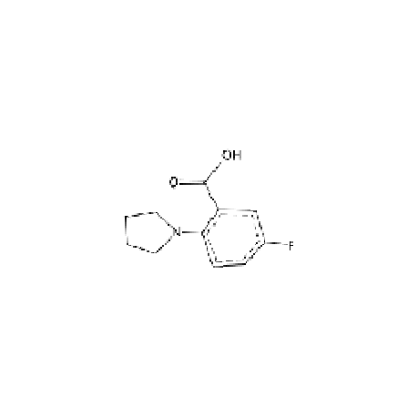 O=C(O)c1cc(F)ccc1N1CCCC1